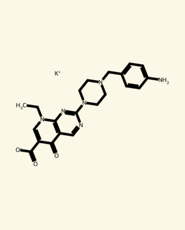 CCn1cc(C(=O)[O-])c(=O)c2cnc(N3CCN(Cc4ccc(N)cc4)CC3)nc21.[K+]